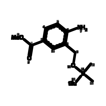 COC(=O)c1ccc(N)c(CO[Si](C)(C)C(C)(C)C)c1